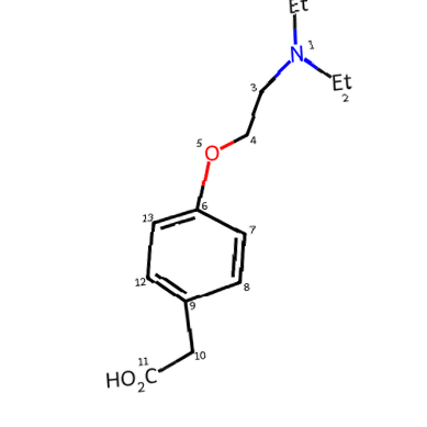 CCN(CC)CCOc1ccc(CC(=O)O)cc1